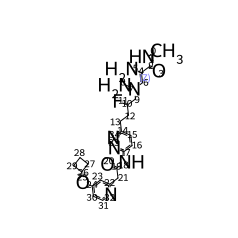 CNC(=O)/C(N)=C/N(N)CC(F)CCc1ccc(NC(=O)Cc2cc(OC3CCC3)ccn2)nn1